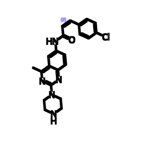 Cc1nc(N2CCNCC2)nc2ccc(NC(=O)/C=C\c3ccc(Cl)cc3)cc12